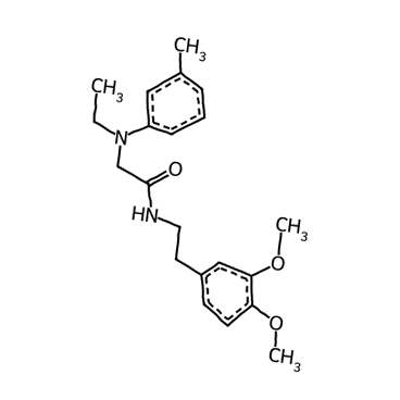 CCN(CC(=O)NCCc1ccc(OC)c(OC)c1)c1cccc(C)c1